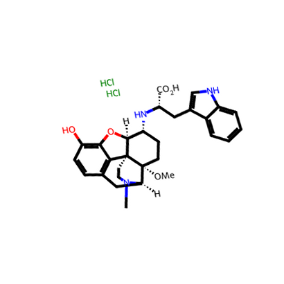 CO[C@@]12CC[C@@H](N[C@@H](Cc3c[nH]c4ccccc34)C(=O)O)[C@@H]3Oc4c(O)ccc5c4[C@@]31CCN(C)[C@@H]2C5.Cl.Cl